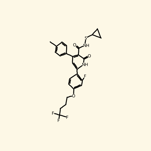 Cc1ccc(-c2cc(-c3ccc(OCCCC(F)(F)F)cc3F)[nH]c(=O)c2C(=O)NSC2CC2)cc1